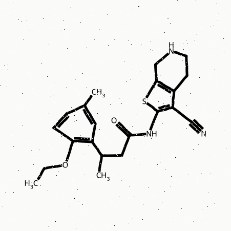 CCOc1ccc(C)cc1C(C)CC(=O)Nc1sc2c(c1C#N)CCNC2